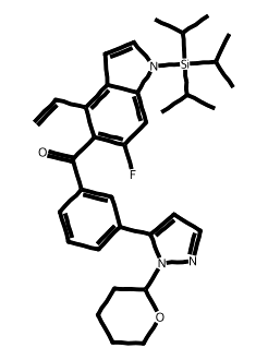 C=Cc1c(C(=O)c2cccc(-c3ccnn3C3CCCCO3)c2)c(F)cc2c1ccn2[Si](C(C)C)(C(C)C)C(C)C